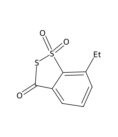 CCc1cccc2c1S(=O)(=O)SC2=O